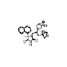 CC1(c2cccc3ccccc23)C(=O)NC(=O)N1CC(Cc1cnc[nH]1)N1CCS(=O)(=O)C1